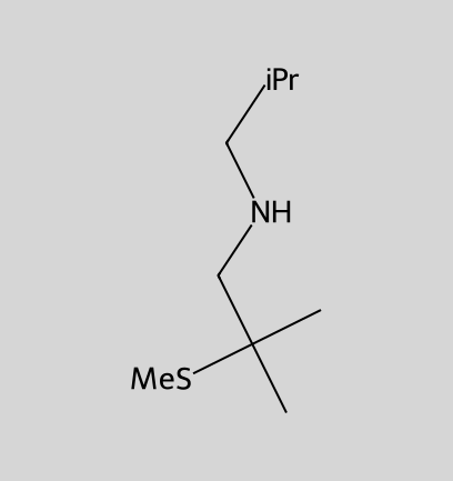 CSC(C)(C)CNCC(C)C